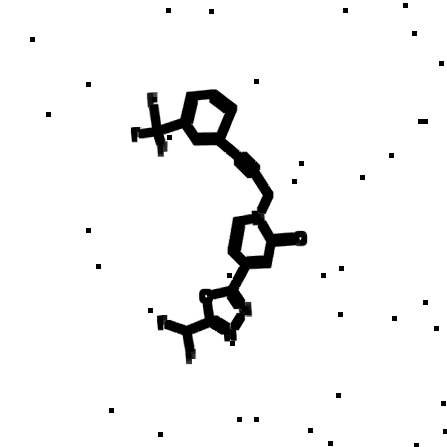 O=c1cc(-c2nnc(C(F)F)o2)ccn1CC#Cc1cccc(C(F)(F)F)c1